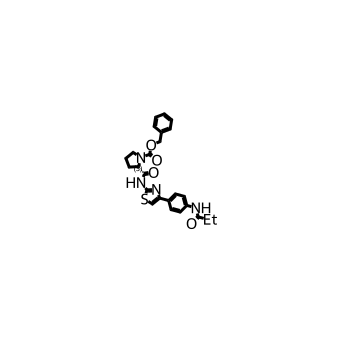 CCC(=O)Nc1ccc(-c2csc(NC(=O)[C@@H]3CCCN3C(=O)OCc3ccccc3)n2)cc1